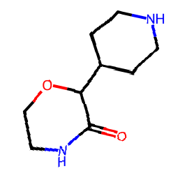 O=C1NCCOC1C1CCNCC1